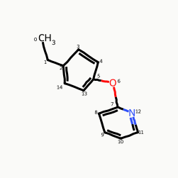 CCc1ccc(Oc2ccccn2)cc1